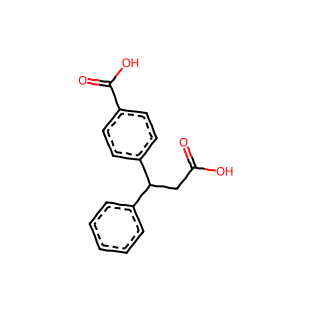 O=C(O)CC(c1ccccc1)c1ccc(C(=O)O)cc1